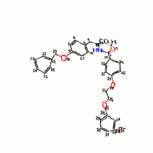 O=C(N[C@@H](Cc1ccc(OCc2ccccc2)cc1)C(=O)O)c1ccc(OCCOc2cccc(Br)c2)cc1